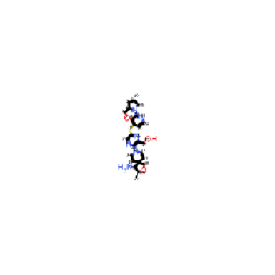 C[C@H]1CC2COc3c(Sc4cnc(N5CCC6(CC5)CO[C@@H](C)[C@H]6N)c(CO)n4)ccnc3N2C1